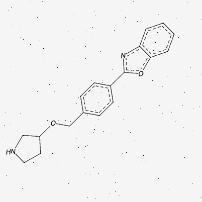 c1ccc2oc(-c3ccc(COC4CCNC4)cc3)nc2c1